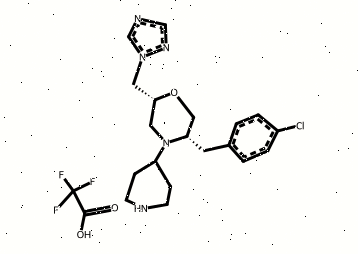 Clc1ccc(C[C@H]2CO[C@@H](Cn3cncn3)CN2C2CCNCC2)cc1.O=C(O)C(F)(F)F